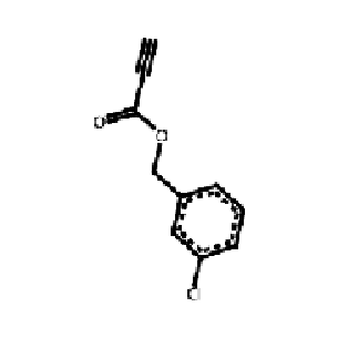 C#CC(=O)OCc1cccc(Cl)c1